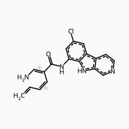 C=C/C=C\C(=C/N)C(=O)Nc1cc(Cl)cc2c1[nH]c1cnccc12